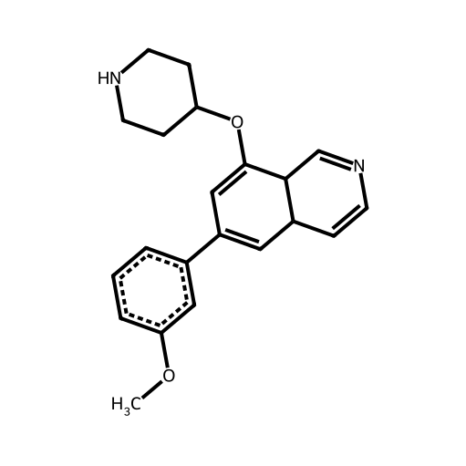 COc1cccc(C2=CC3C=CN=CC3C(OC3CCNCC3)=C2)c1